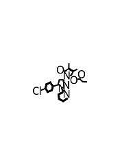 CCC(=O)OC1C(C)=C(C)C(=O)N1C1=NN(c2ccccn2)C(c2ccc(Cl)cc2)C1